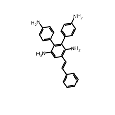 Nc1ccc(-c2c(N)cc(C=Cc3ccccc3)c(N)c2-c2ccc(N)cc2)cc1